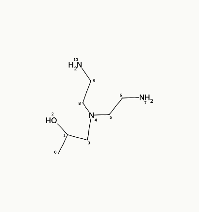 CC(O)CN(CCN)CCN